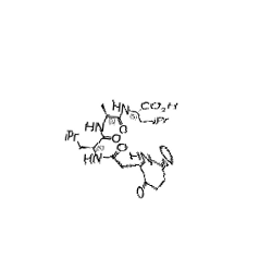 CC(C)C[C@H](NC(=O)[C@H](C)NC(=O)[C@H](CC(C)C)NC(=O)CC1NC(=O)CCC1=O)C(=O)O